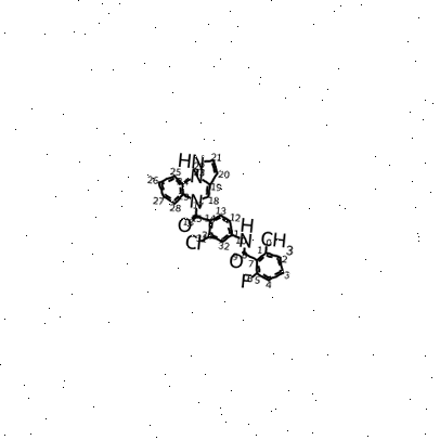 Cc1cccc(F)c1C(=O)Nc1ccc(C(=O)N2C=C3C=CNN3c3ccccc32)c(Cl)c1